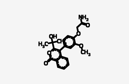 COc1cc(-c2c(C(C)(C)O)oc(=O)c3ccccc23)ccc1OCC(N)=O